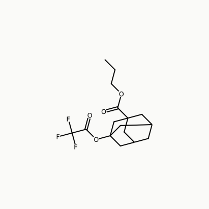 CCCOC(=O)C12CC3CC(CC(OC(=O)C(F)(F)F)(C3)C1)C2